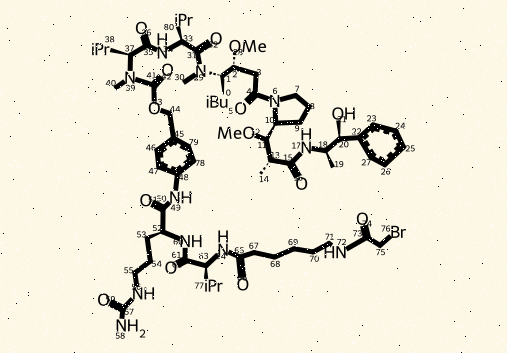 CC[C@H](C)[C@@H]([C@@H](CC(=O)N1CCC[C@H]1C(OC)[C@@H](C)C(=O)N[C@H](C)[C@@H](O)c1ccccc1)OC)N(C)C(=O)[C@@H](NC(=O)[C@H](C(C)C)N(C)C(=O)OCc1ccc(NC(=O)[C@H](CCCNC(N)=O)NC(=O)[C@@H](NC(=O)CCCCCNC(=O)CBr)C(C)C)cc1)C(C)C